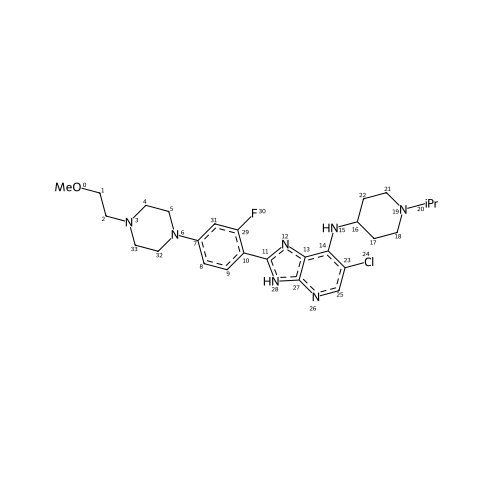 COCCN1CCN(c2ccc(-c3nc4c(NC5CCN(C(C)C)CC5)c(Cl)cnc4[nH]3)c(F)c2)CC1